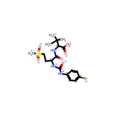 CC(C)(C)C(NC(=O)C(CCS(C)(=O)=O)NC(=O)Nc1ccc(Br)cc1)C(=O)O